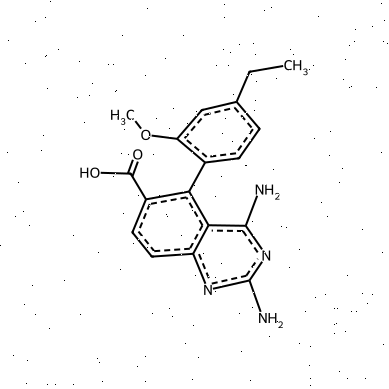 CCc1ccc(-c2c(C(=O)O)ccc3nc(N)nc(N)c23)c(OC)c1